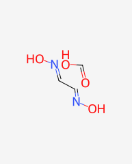 O=CO.ON=CC=NO